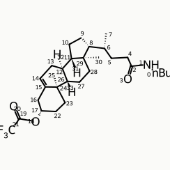 CCCCNC(=O)CC[C@@H](C)[C@H]1CC[C@H]2[C@@H]3CC=C4C[C@@H](OC(=O)C(F)(F)F)CC[C@]4(C)[C@H]3CC[C@]12C